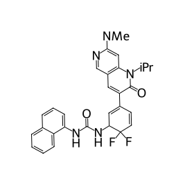 CNc1cc2c(cn1)cc(C1=CC(NC(=O)Nc3cccc4ccccc34)C(F)(F)C=C1)c(=O)n2C(C)C